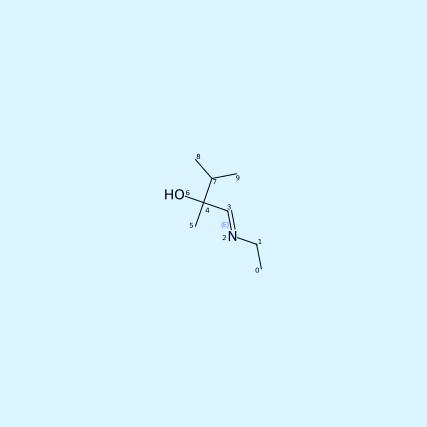 CC/N=C/C(C)(O)C(C)C